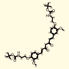 COc1cc(C=CC(=O)CC(=O)C=Cc2ccc(OCCNC(=O)OC(C)(C)C)c(OC)c2)ccc1OCCNC(=O)OC(C)(C)C